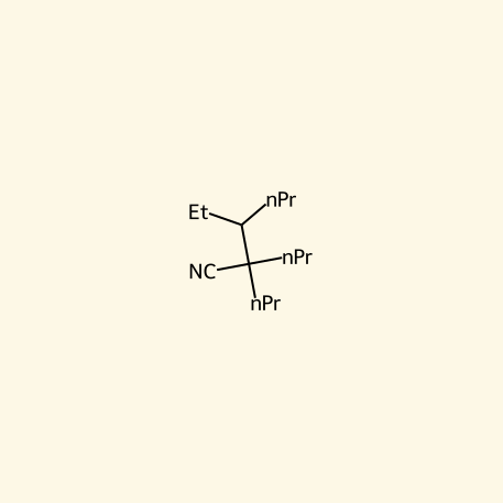 CCCC(CC)C(C#N)(CCC)CCC